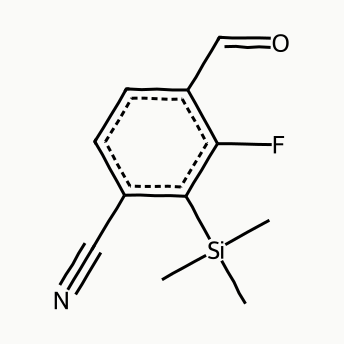 C[Si](C)(C)c1c(C#N)ccc(C=O)c1F